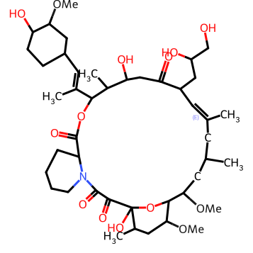 COC1CC(C=C(C)C2OC(=O)C3CCCCN3C(=O)C(=O)C3(O)OC(C(OC)CC(C)C/C(C)=C/C(CC(O)CO)C(=O)CC(O)C2C)C(OC)CC3C)CCC1O